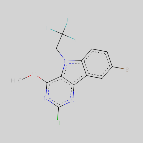 COc1nc(Cl)nc2c3cc(Br)ccc3n(CC(F)(F)F)c12